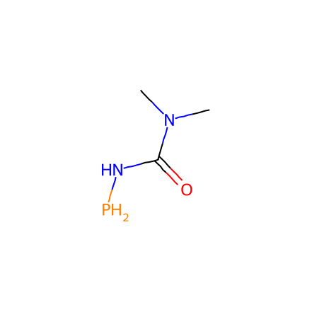 CN(C)C(=O)NP